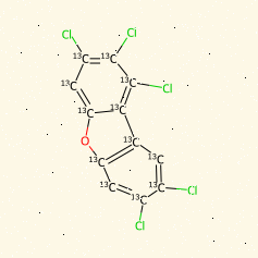 Cl[13c]1[13cH][13c]2o[13c]3[13cH][13c](Cl)[13c](Cl)[13c](Cl)[13c]3[13c]2[13cH][13c]1Cl